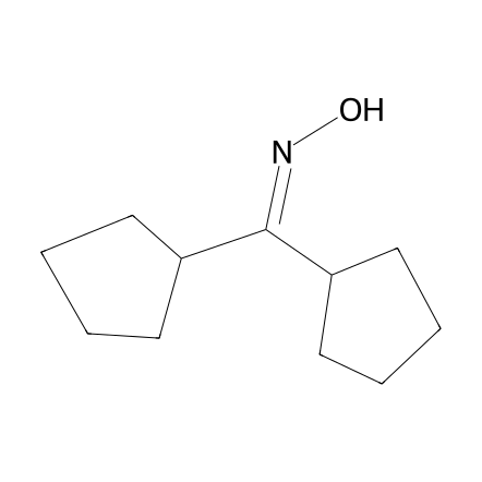 ON=C(C1CCCC1)C1CCCC1